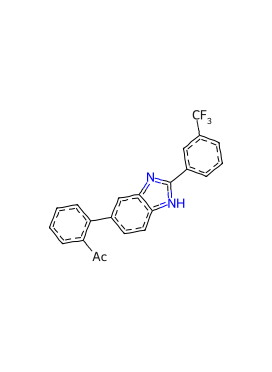 CC(=O)c1ccccc1-c1ccc2[nH]c(-c3cccc(C(F)(F)F)c3)nc2c1